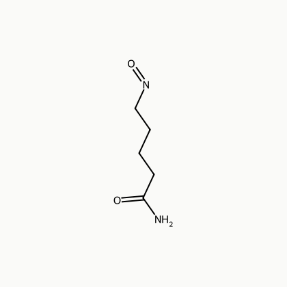 NC(=O)CCCCN=O